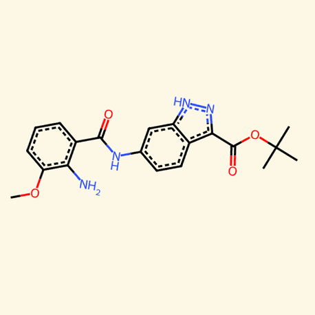 COc1cccc(C(=O)Nc2ccc3c(C(=O)OC(C)(C)C)n[nH]c3c2)c1N